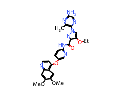 CCOc1cn(-c2ncc(N)nc2C)nc1C(=O)Nc1ccc(Oc2ccnc3cc(OC)c(OC)cc23)cn1